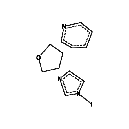 C1CCOC1.In1ccnc1.c1ccncc1